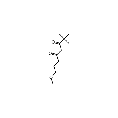 COCCCC(=O)CC(=O)C(C)(C)C